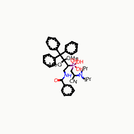 COC(OC)(C(CNC(=O)c1ccccc1)P(O)(O)(O)CC(C#N)N(C(C)C)C(C)C)C(c1ccccc1)(c1ccccc1)c1ccccc1